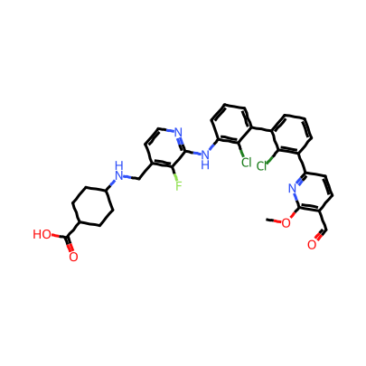 COc1nc(-c2cccc(-c3cccc(Nc4nccc(CNC5CCC(C(=O)O)CC5)c4F)c3Cl)c2Cl)ccc1C=O